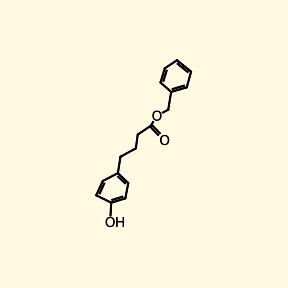 O=C(CCCc1ccc(O)cc1)OCc1ccccc1